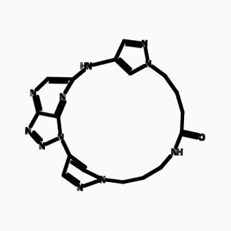 O=C1CCCn2cc(cn2)Nc2cnc3nnn(c3n2)-c2cnn(c2)CCCN1